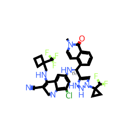 Cn1ccc2c([C@H](Nc3cc(Cl)c4ncc(C#N)c(NCC5(C(F)(F)F)CCC5)c4c3)C3=CN(C4(C(F)F)CC4)NN3)cccc2c1=O